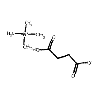 C[N+](C)(C)C.O=C([O-])CCC(=O)O